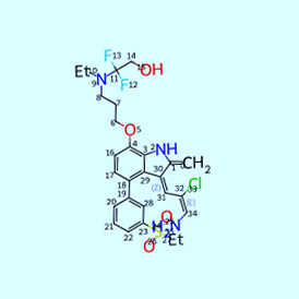 C=c1[nH]c2c(OCCCN(CC)C(F)(F)CO)ccc(-c3cccc(S(=O)(=O)CC)c3)c2/c1=C/C(Cl)=C\N